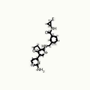 Nc1nccc(-c2cnc(NCc3cccc(C(=O)N[C@@H]4C[C@H]4F)c3)c3c2OCC3)n1